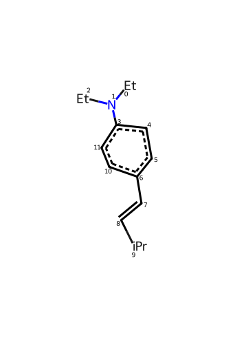 CCN(CC)c1ccc(C=CC(C)C)cc1